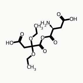 CCOC(CC(=O)O)(OCC)C(=O)OC(=O)[C@@H](N)CC(=O)O